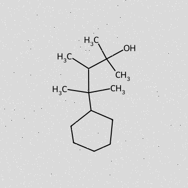 CC(C(C)(C)O)C(C)(C)C1CCCCC1